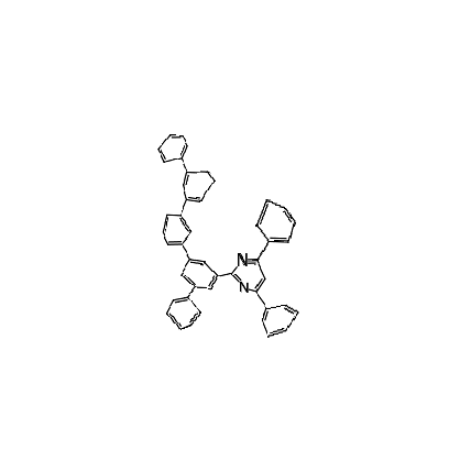 C1=C(c2cccc(-c3cc(-c4ccccc4)cc(-c4nc(-c5ccccc5)cc(-c5ccccc5)n4)c3)c2)C=C(c2ccccc2)CC1